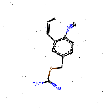 C=Nc1ccc(CSC(=N)N)cc1/C=C\C